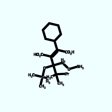 CC(C)C(C)(C)C(O[Si](C)(C)C)([SiH2]O[SiH3])/C(C(=O)O)=C(\C(=O)O)C1CCCCC1